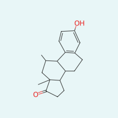 CC1CC2(C)C(=O)CCC2C2CCc3cc(O)ccc3C12